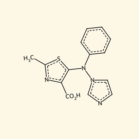 Cc1nc(C(=O)O)c(N(c2ccccc2)n2ccnc2)s1